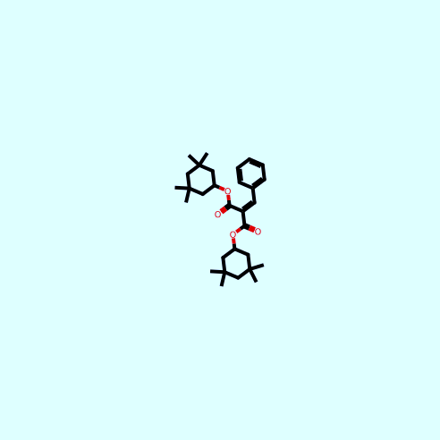 CC1(C)CC(OC(=O)C(=Cc2ccccc2)C(=O)OC2CC(C)(C)CC(C)(C)C2)CC(C)(C)C1